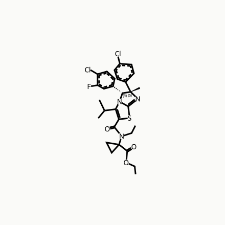 CCOC(=O)C1(N(CC)C(=O)C2=C(C(C)C)N3C(=N[C@@](C)(c4ccc(Cl)cc4)[C@H]3c3ccc(Cl)c(F)c3)S2)CC1